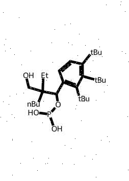 CCCCC(CC)(CO)C(OP(O)O)c1ccc(C(C)(C)C)c(C(C)(C)C)c1C(C)(C)C